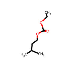 CCOC(=O)OCCC(C)C